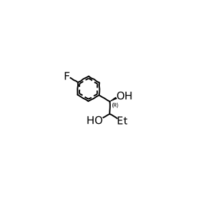 CCC(O)[C@H](O)c1ccc(F)cc1